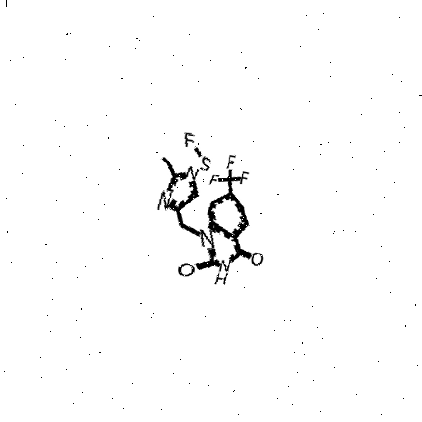 Cc1nc(Cn2c(=O)[nH]c(=O)c3ccc(C(F)(F)F)cc32)cn1SF